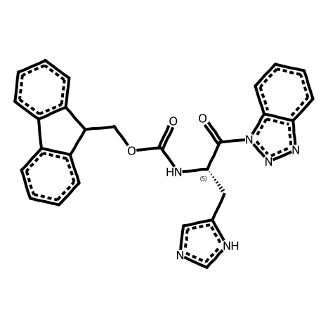 O=C(N[C@@H](Cc1cnc[nH]1)C(=O)n1nnc2ccccc21)OCC1c2ccccc2-c2ccccc21